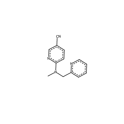 CN(Cc1ccccn1)c1ccc(C#N)cn1